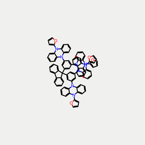 c1coc(N2c3ccccc3N(c3cc(N4c5ccccc5N(c5ccco5)c5ccccc54)cc(C4(c5cc(N6c7ccccc7N(c7ccco7)c7ccccc76)cc(N6c7ccccc7N(c7ccco7)c7ccccc76)c5)c5ccccc5-c5ccccc54)c3)c3ccccc32)c1